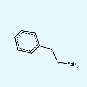 [AsH2]SSc1ccccc1